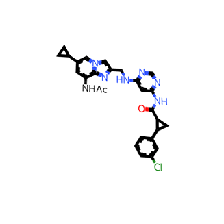 CC(=O)Nc1cc(C2CC2)cn2cc(CNc3cc(NC(=O)C4CC4c4cccc(Cl)c4)ncn3)nc12